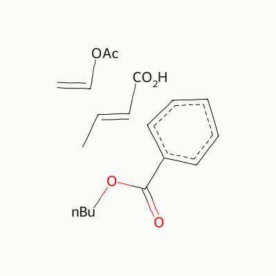 C/C=C/C(=O)O.C=COC(C)=O.CCCCOC(=O)c1ccccc1